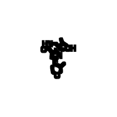 CC1COCCN1c1cc2n(n1)C(CO)(C(C)C)CNC2=O